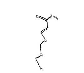 CC(C)COCOC=CC(N)=O